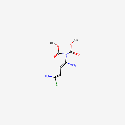 CC(C)(C)OC(=O)N(C(=O)OC(C)(C)C)/C(N)=C/C=C(\N)Cl